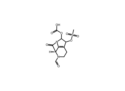 CS(=O)(=O)OC1C2=C3[C@@H](C(=O)N3C1OC(=O)O)N(C=O)CC2